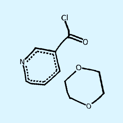 C1COCCO1.O=C(Cl)c1cccnc1